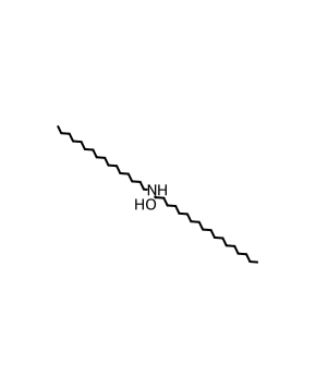 CCCCCCCCCCCCCCCCCC(O)NCCCCCCCCCCCCCCCC